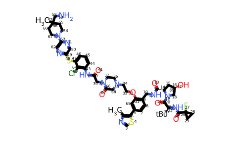 Cc1ncsc1-c1ccc(CNC(=O)[C@@H]2C[C@@H](O)CN2C(=O)[C@@H](NC(=O)C2(F)CC2)C(C)(C)C)c(OCCN2CCN(CC(=O)Nc3cccc(Sc4cnc(N5CCC(C)(CN)CC5)cn4)c3Cl)C(=O)C2)c1